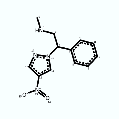 CNCC(c1ccccc1)n1cc([N+](=O)[O-])cn1